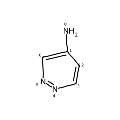 Nc1[c]cnnc1